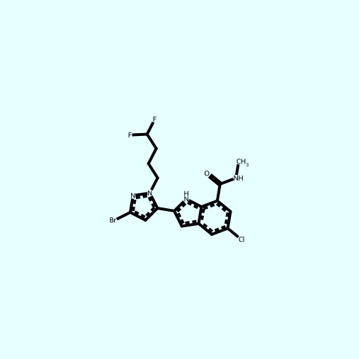 CNC(=O)c1cc(Cl)cc2cc(-c3cc(Br)nn3CCCC(F)F)[nH]c12